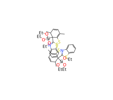 CCO[Si](OCC)(OCC)C1(c2nc3ccccc3s2)C(SSSC2=C(C)C=CC(C)C2(c2nc3ccccc3s2)[Si](OCC)(OCC)OCC)=C(C)C=CC1C